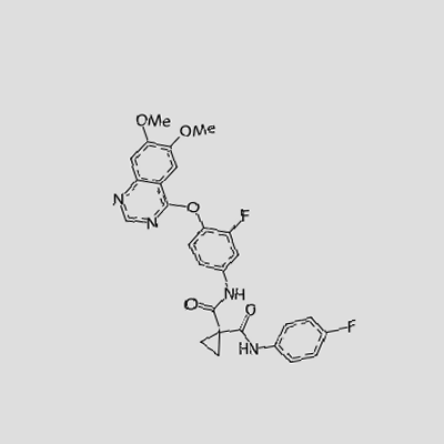 COc1cc2ncnc(Oc3ccc(NC(=O)C4(C(=O)Nc5ccc(F)cc5)CC4)cc3F)c2cc1OC